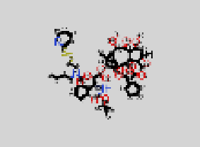 CCCCN(CCSSc1ccccn1)C(=O)O[C@@H](C(=O)OC1C[C@@]2(O)[C@@H](OC(=O)c3ccccc3)[C@@H]3[C@]4(OC(C)=O)CO[C@@H]4C[C@H](OC)[C@@]3(C)C(=O)[C@H](OC)C(=C1C)C2(C)C)[C@@H](NC(=O)OC(C)(C)C)c1ccccc1